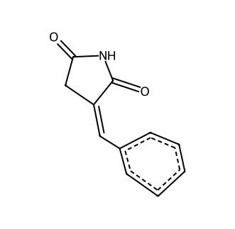 O=C1CC(=Cc2ccccc2)C(=O)N1